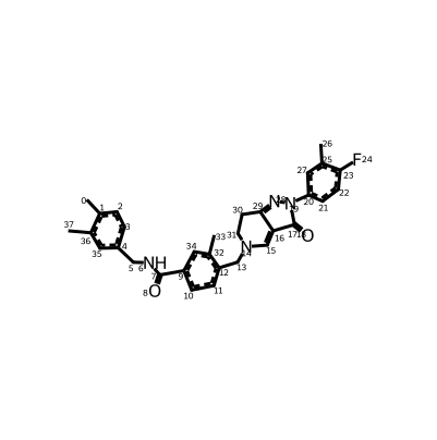 Cc1ccc(CNC(=O)c2ccc(CN3C=C4C(=O)N(c5ccc(F)c(C)c5)N=C4CC3)c(C)c2)cc1C